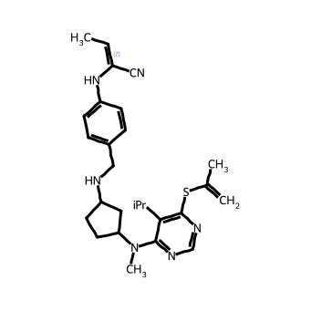 C=C(C)Sc1ncnc(N(C)C2CCC(NCc3ccc(N/C(C#N)=C\C)cc3)C2)c1C(C)C